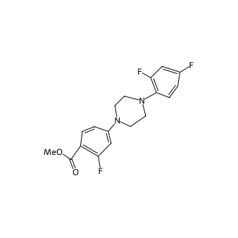 COC(=O)c1ccc(N2CCN(c3ccc(F)cc3F)CC2)cc1F